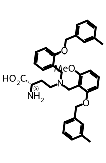 COc1cccc(OCc2cccc(C)c2)c1CN(CC[C@H](N)C(=O)O)Cc1ccccc1OCc1cccc(C)c1